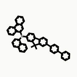 CC1(C)c2cc(-c3ccc(-c4ccccc4)cc3)ccc2-c2ccc(N(c3cccc4ccccc34)c3cc4ccccc4c4ccccc34)cc21